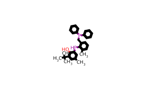 Cc1cc(Pc2c(C)cccc2CP(c2ccccc2)c2ccccc2)c(O)c(C(C)(C)C)c1